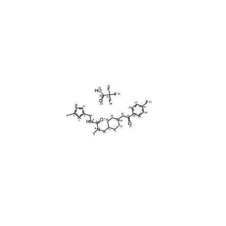 Cc1nc(CNC(=O)N(C)CC2CCN(CC(=O)c3ccc(F)cc3)CC2)cs1.O=C(O)C(F)(F)F